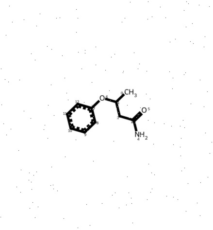 CC(CC(N)=O)Oc1ccccc1